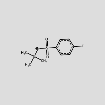 C[Si](C)(C)NS(=O)(=O)c1ccc(F)cc1